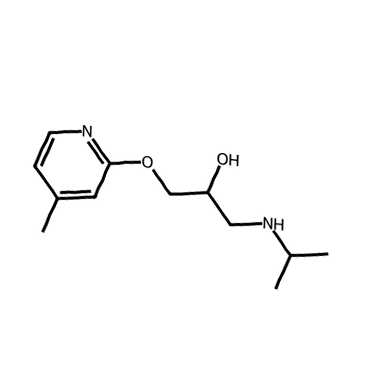 Cc1ccnc(OCC(O)CNC(C)C)c1